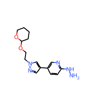 NNc1ccc(-c2cnn(CCOC3CCCCO3)c2)cn1